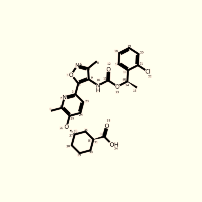 Cc1nc(-c2onc(C)c2NC(=O)O[C@H](C)c2ccccc2Cl)ccc1O[C@H]1CCC[C@H](C(=O)O)C1